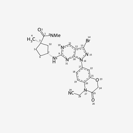 CNC(=O)[C@]1(C)CC[C@@H](Nc2ncc3c(Br)nn(-c4ccc5c(c4)OCC(=O)N5CC#N)c3n2)C1